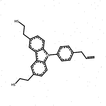 C=CCc1ccc(-n2c3ccc(CCS)cc3c3cc(CCS)ccc32)cc1